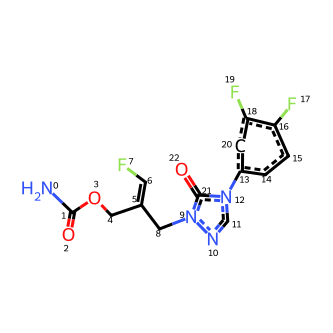 NC(=O)OCC(=CF)Cn1ncn(-c2ccc(F)c(F)c2)c1=O